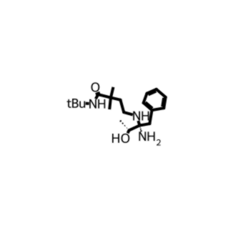 C[C@@H](O)[C@](N)(Cc1ccccc1)NCCC(C)(C)C(=O)NC(C)(C)C